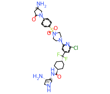 N[C@@H]1CC(=O)N(c2ccc(S(=O)(=O)N3CCN(c4cc(C(F)(F)[C@H]5CC[C@H](C(=O)N[C@@H]6CNC[C@@H]6N)CC5)cc(Cl)n4)CC3)cc2)C1